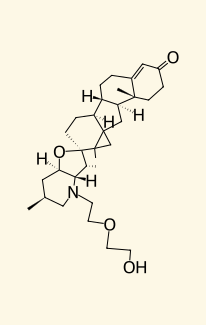 C[C@H]1C[C@H]2O[C@]3(CC[C@H]4[C@@H]5CCC6=CC(=O)CC[C@]6(C)[C@H]5CC45CC53C)[C@H](C)[C@@H]2N(CCOCCO)C1